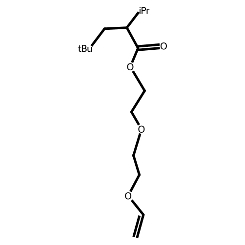 C=COCCOCCOC(=O)C(CC(C)(C)C)C(C)C